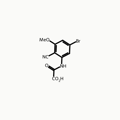 COc1cc(Br)cc(NC(=O)C(=O)O)c1C#N